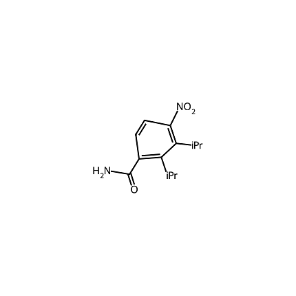 CC(C)c1c(C(N)=O)ccc([N+](=O)[O-])c1C(C)C